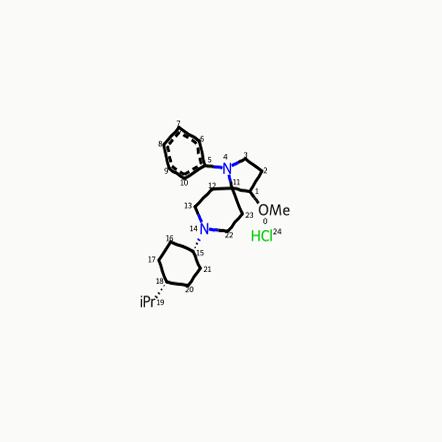 COC1CCN(c2ccccc2)C12CCN([C@H]1CC[C@@H](C(C)C)CC1)CC2.Cl